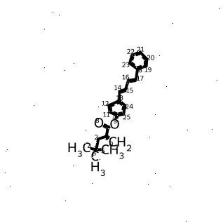 C=C(CC(C)(C)C)C(=O)Oc1ccc(C=CC=Cc2ccccc2)cc1